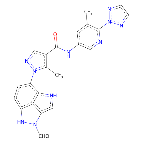 O=CN1Nc2ccc(-n3ncc(C(=O)Nc4cnc(-n5nccn5)c(C(F)(F)F)c4)c3C(F)(F)F)c3[nH]cc1c23